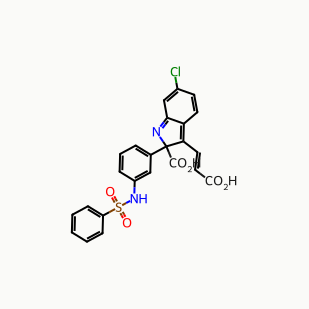 O=C(O)C=CC1=c2ccc(Cl)cc2=NC1(C(=O)O)c1cccc(NS(=O)(=O)c2ccccc2)c1